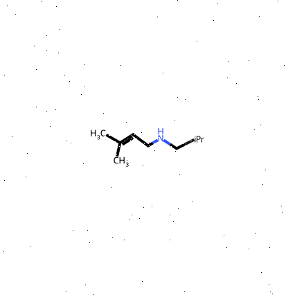 CC(C)=CCNCC(C)C